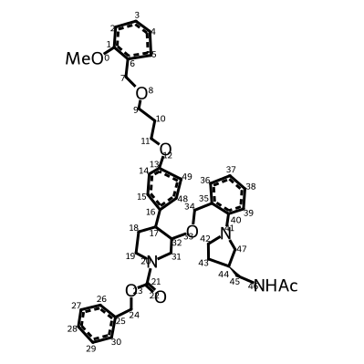 COc1ccccc1COCCCOc1ccc(C2CCN(C(=O)OCc3ccccc3)CC2OCc2ccccc2N2CC[C@H](CNC(C)=O)C2)cc1